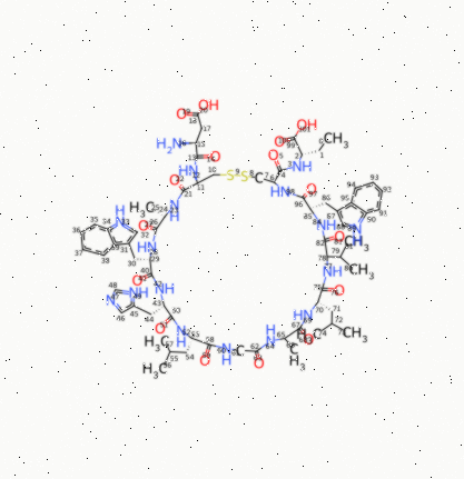 CC[C@H](NC(=O)[C@@H]1CSSC[C@H](NC(=O)[C@@H](N)CC(=O)O)C(=O)N[C@@H](C)C(=O)N[C@@H](Cc2c[nH]c3ccccc23)C(=O)N[C@@H](Cc2cnc[nH]2)C(=O)N[C@@H](CC(C)C)C(=O)NCC(=O)NC(C)C(=O)N[C@@H](CC(C)C)C(=O)NC(C(C)C)C(=O)N[C@@H](Cc2c[nH]c3ccccc23)C(=O)N1)C(=O)O